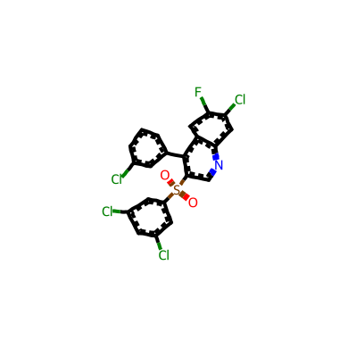 O=S(=O)(c1cc(Cl)cc(Cl)c1)c1cnc2cc(Cl)c(F)cc2c1-c1cccc(Cl)c1